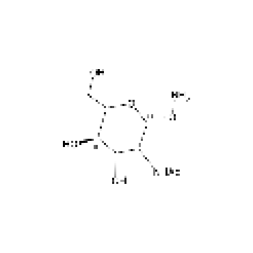 CC(=O)NC1C(O)[C@@H](O)C(CO)O[C@@H]1ON